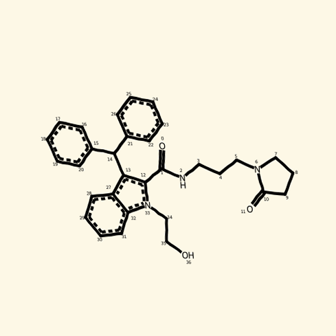 O=C(NCCCN1CCCC1=O)c1c(C(c2ccccc2)c2ccccc2)c2ccccc2n1CCO